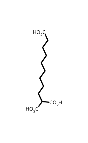 O=C(O)CCCCCCCCC(C(=O)O)C(=O)O